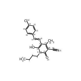 CCCCn1c(O)c(/N=N/c2ccc(Cl)cc2)c(C)c(C#N)c1=O